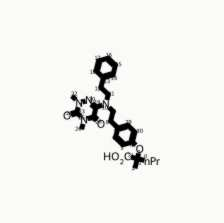 CCCC(C)(Oc1ccc(CCN(CCc2ccccc2)c2nn(C)c(=O)n(C)c2=O)cc1)C(=O)O